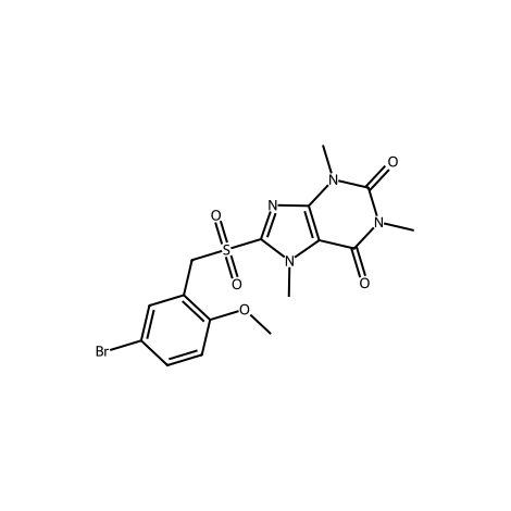 COc1ccc(Br)cc1CS(=O)(=O)c1nc2c(c(=O)n(C)c(=O)n2C)n1C